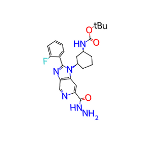 CC(C)(C)OC(=O)N[C@H]1CCC[C@@H](n2c(-c3ccccc3F)nc3cnc(C(=O)NN)cc32)C1